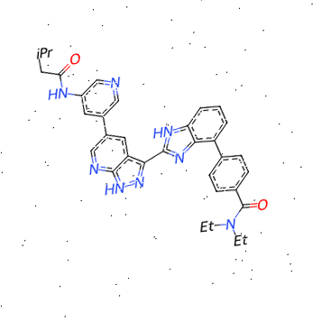 CCN(CC)C(=O)c1ccc(-c2cccc3[nH]c(-c4n[nH]c5ncc(-c6cncc(NC(=O)CC(C)C)c6)cc45)nc23)cc1